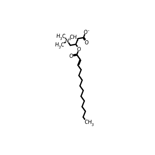 CCCCCCCCCCCC=CC(=O)OC(CC(=O)[O-])C[N+](C)(C)C